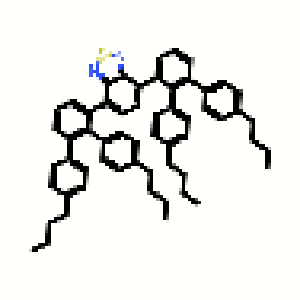 CCCCc1ccc(-c2cccc(-c3ccc(-c4cccc(-c5ccc(CCCC)cc5)c4-c4ccc(CCCC)cc4)c4nsnc34)c2-c2ccc(CCCC)cc2)cc1